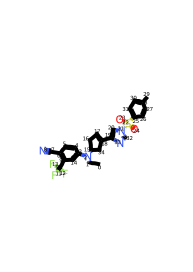 CCN(c1ccc(C#N)c(C(F)(F)F)c1)C1CC=C(c2cn(S(=O)(=O)c3ccc(C)cc3)cn2)C1